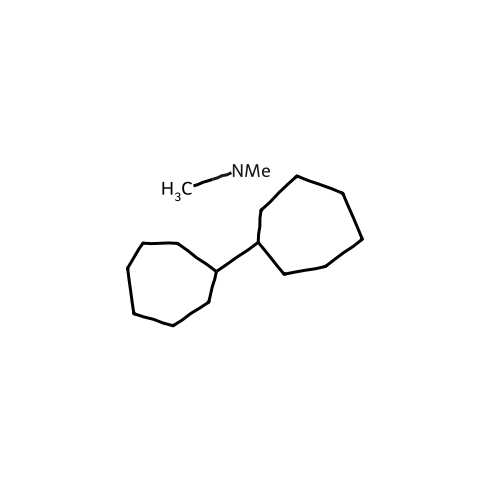 C1CCCC(C2CCCCCC2)CC1.CNC